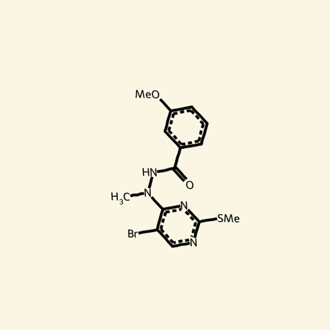 COc1cccc(C(=O)NN(C)c2nc(SC)ncc2Br)c1